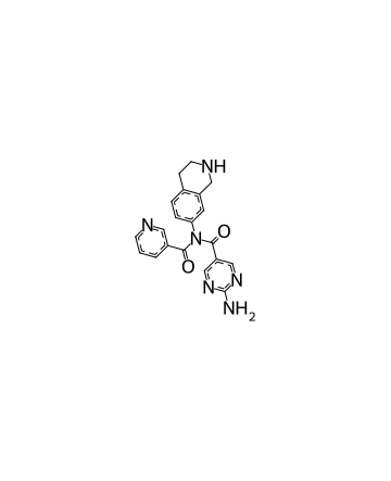 Nc1ncc(C(=O)N(C(=O)c2cccnc2)c2ccc3c(c2)CNCC3)cn1